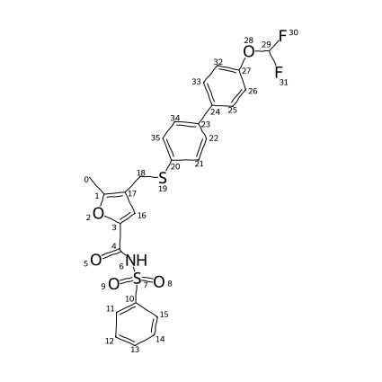 Cc1oc(C(=O)NS(=O)(=O)c2ccccc2)cc1CSc1ccc(-c2ccc(OC(F)F)cc2)cc1